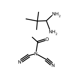 CC(=O)N(C#N)C#N.CC(C)(C)C(N)N